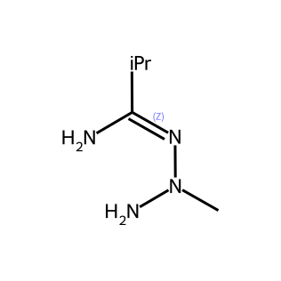 CC(C)/C(N)=N/N(C)N